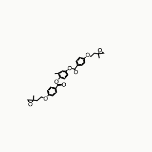 Cc1cc(OC(=O)c2ccc(OCCC3(C)CO3)cc2)ccc1OC(=O)c1ccc(OCCC2(C)CO2)cc1